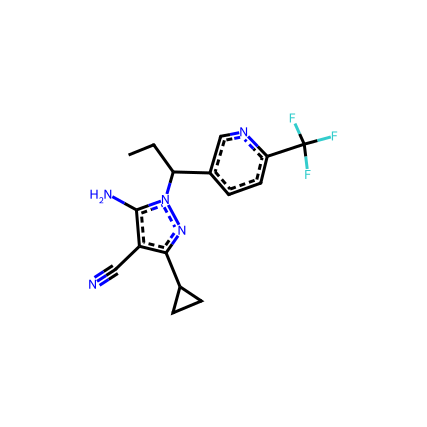 CCC(c1ccc(C(F)(F)F)nc1)n1nc(C2CC2)c(C#N)c1N